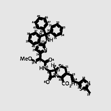 CON=C(C(=O)NC1C(=O)N2C(C(=O)O)=C(C=Cc3cnc(C)s3)CS[C@@H]12)c1csc(NC(c2ccccc2)(c2ccccc2)c2ccccc2)n1